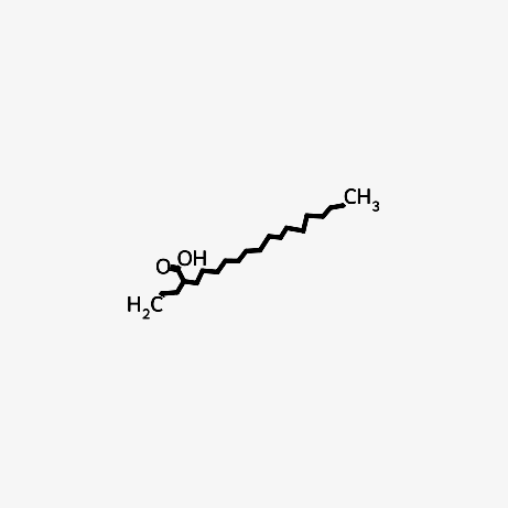 C=CCC(CCCCCCCCCCCCCCCC)C(=O)O